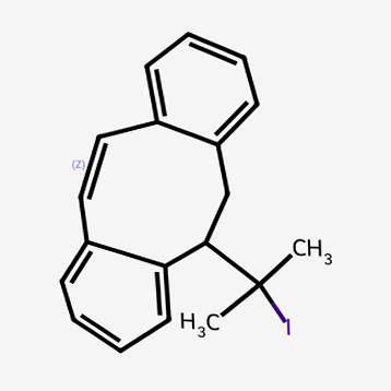 CC(C)(I)C1Cc2ccccc2/C=C\c2ccccc21